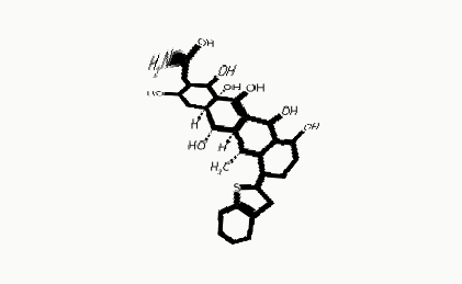 C[C@H]1C2C(C3CC4=C(CCCC4)S3)CCC(O)C2C(O)C2=C(O)[C@]3(O)C(O)C(C(N)O)C(O)C[C@@H]3[C@@H](O)[C@@H]21